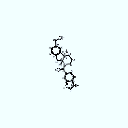 O=C(c1ccc2[nH]cnc2c1)N1CCC[C@H]2c3cc(CO)ccc3C[C@H]21